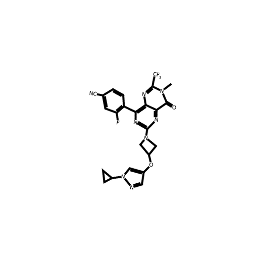 Cn1c(C(F)(F)F)nc2c(-c3ccc(C#N)cc3F)nc(N3CC(Oc4cnn(C5CC5)c4)C3)nc2c1=O